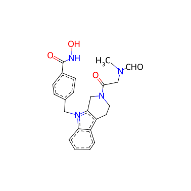 CN(C=O)CC(=O)N1CCc2c(n(Cc3ccc(C(=O)NO)cc3)c3ccccc23)C1